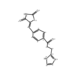 O=C1NC(=O)C(=Cc2ccc(C(=O)CCc3ncc[nH]3)cc2)S1